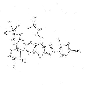 Nc1cnc(-c2cnn([C@@H](CCOC(F)F)c3ccc(-c4c(-n5cc(C(F)(F)F)nn5)ccc(Cl)c4F)c[n+]3O)c2)c(F)n1